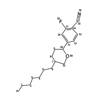 CCCCCCCC1CCC(c2ccc(C#N)c(F)c2)OC1